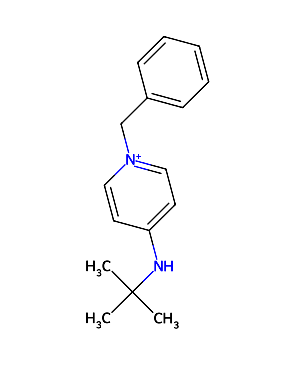 CC(C)(C)Nc1cc[n+](Cc2ccccc2)cc1